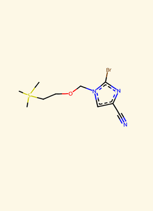 CS(C)(C)CCOCn1cc(C#N)nc1Br